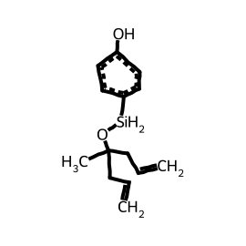 C=CCC(C)(CC=C)O[SiH2]c1ccc(O)cc1